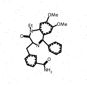 CCN1C(=O)C(Cc2cccc(C(N)=O)c2)N=C(c2ccccc2)c2cc(OC)c(OC)cc21